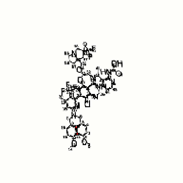 COc1ccc(CN(Cc2ccc(OC)cc2)c2cc(C)c(C(F)(F)F)c(-c3c(F)c4c5c(c3Cl)=NCNC=5N(C(C)c3cccnc3NC(=O)O)C=C(OC[C@@]35CCCN3C[C@]3(CC3(F)F)C5)O4)n2)cc1